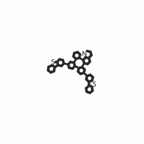 c1ccc2c(c1)-c1cc(-c3ccc4sc5ccccc5c4c3)ccc1-c1ccc(-c3ccc4sc5ccccc5c4c3)cc1-c1ccc3cccnc3c1-2